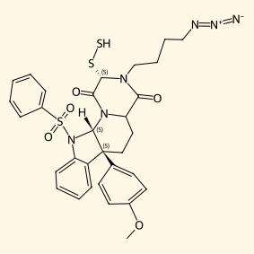 COc1ccc([C@]23CCC4C(=O)N(CCCCN=[N+]=[N-])[C@@H](SS)C(=O)N4[C@H]2N(S(=O)(=O)c2ccccc2)c2ccccc23)cc1